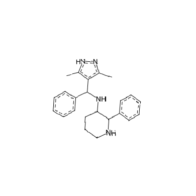 Cc1n[nH]c(C)c1C(NC1CCCNC1c1ccccc1)c1ccccc1